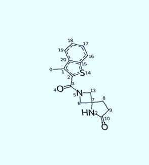 Cc1c(C(=O)N2CC3(CCC(=O)N3)C2)sc2ccccc12